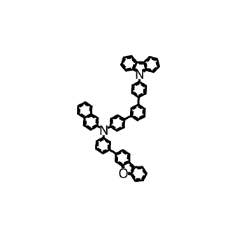 c1cc(-c2ccc(N(c3cccc(-c4ccc5c(c4)oc4ccccc45)c3)c3ccc4ccccc4c3)cc2)cc(-c2ccc(-n3c4ccccc4c4ccccc43)cc2)c1